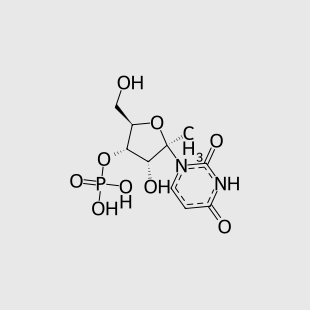 C[C@@]1(n2ccc(=O)[nH]c2=O)O[C@H](CO)[C@@H](OP(=O)(O)O)[C@H]1O